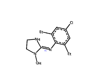 CCc1cc(Cl)cc(CC)c1/N=C1\NCCN1O